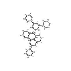 c1ccc(-c2cc(-c3ccccc3)cc(N3c4ccncc4-c4cc(-c5ccccc5)cc5cccc3c45)c2)cc1